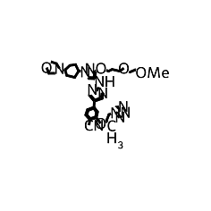 COCCOCCCOc1nn(C2CCC(N3CCOCC3)CC2)cc1Nc1ncc(-c2ccc(C#N)c(OC(C)Cn3cnnn3)c2)cn1